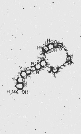 C=C1C[C@@H]2CC[C@@]34CC5O[C@H]6[C@@H](O3)[C@H]3O[C@H](CC[C@@H]3O[C@H]6C5O4)CC(=O)O[C@@H]3[C@@H](C)[C@@H]4O[C@@H]5C[C@]6(C[C@@H]7O[C@]8(C[C@H](C)[C@@H]9O[C@H](CN)[C@H](O)C[C@@H]9O8)C[C@H](C)[C@@H]7O6)O[C@@H]5C[C@@H]4O[C@H]3C[C@H]3O[C@@H](CC[C@@H]1O2)C[C@@H](C)C3=C